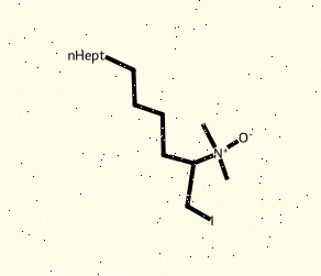 CCCCCCCCCCCC(CI)[N+](C)(C)[O-]